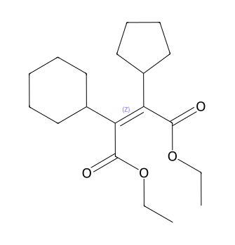 CCOC(=O)/C(=C(\C(=O)OCC)C1CCCC1)C1CCCCC1